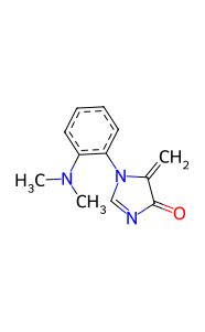 C=C1C(=O)N=CN1c1ccccc1N(C)C